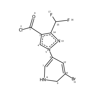 O=C(Cl)c1cn(C2=CNCC(Br)=C2)nc1C(F)F